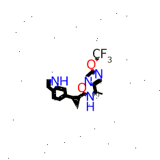 C[C@@H](NC(=O)C1CC1c1ccc2cc[nH]c2c1)c1cnc(OCC(F)(F)F)cn1